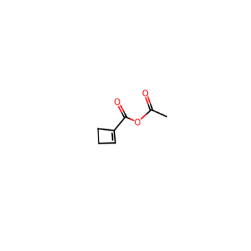 CC(=O)OC(=O)C1=CCC1